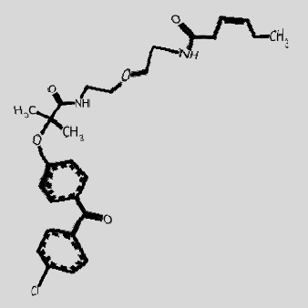 CC/C=C\CC(=O)NCCOCCNC(=O)C(C)(C)Oc1ccc(C(=O)c2ccc(Cl)cc2)cc1